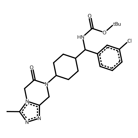 Cc1nnc2n1CC(=O)N(C1CCC(C(NC(=O)OC(C)(C)C)c3cccc(Cl)c3)CC1)C2